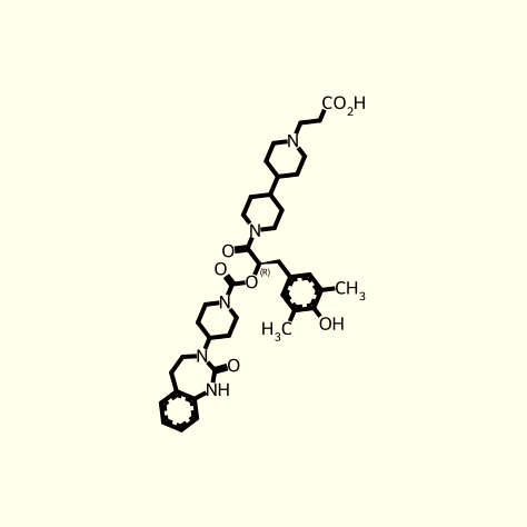 Cc1cc(C[C@@H](OC(=O)N2CCC(N3CCc4ccccc4NC3=O)CC2)C(=O)N2CCC(C3CCN(CCC(=O)O)CC3)CC2)cc(C)c1O